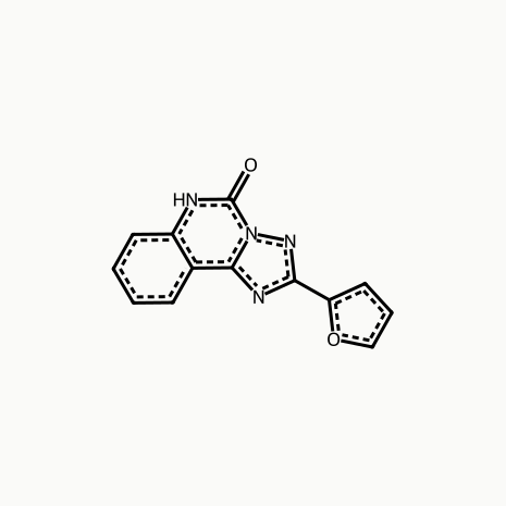 O=c1[nH]c2ccccc2c2nc(-c3ccco3)nn12